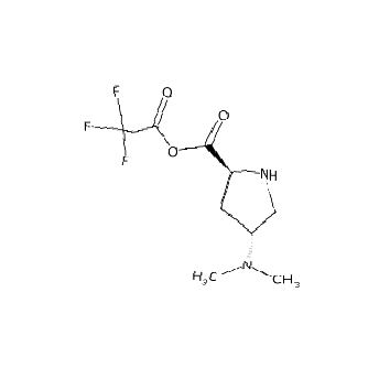 CN(C)[C@H]1CN[C@H](C(=O)OC(=O)C(F)(F)F)C1